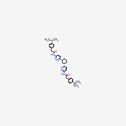 CN(C)c1ccc(CC(=O)Nc2ccc([C@H]3CCC[C@H](c4ccc(NC(=O)Cc5ccc(N(C)C)cc5)nn4)C3)nn2)cc1